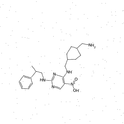 CC(CNc1ncc([N+](=O)O)c(NCC2CCC(CN)CC2)n1)c1ccccc1